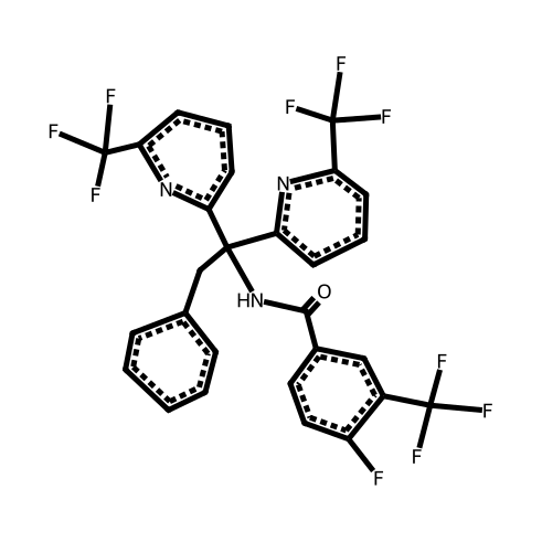 O=C(NC(Cc1ccccc1)(c1cccc(C(F)(F)F)n1)c1cccc(C(F)(F)F)n1)c1ccc(F)c(C(F)(F)F)c1